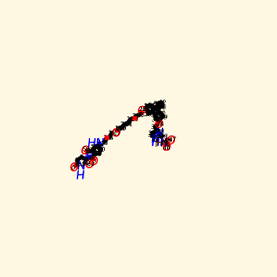 O=C1CCC(N2C(=O)c3ccc(NCCCCOCCCCCCCCOc4ccc(C5(c6ccc(OCc7ccnc(CN[SH](=O)=O)n7)cc6)CCC5)cc4)cc3C2=O)C(=O)N1